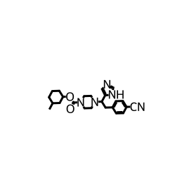 CC1CCCC(OC(=O)N2CCN(C(Cc3ccc(C#N)cc3)c3cnc[nH]3)CC2)C1